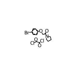 O=C(COc1ccc(Br)cc1)N1CCCC1.O=C(Cl)C(=O)Cl